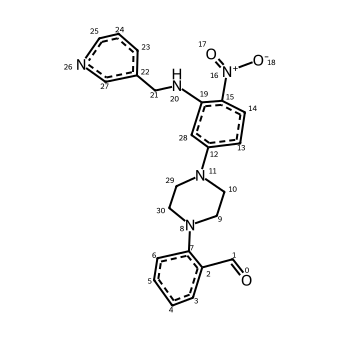 O=Cc1ccccc1N1CCN(c2ccc([N+](=O)[O-])c(NCc3cccnc3)c2)CC1